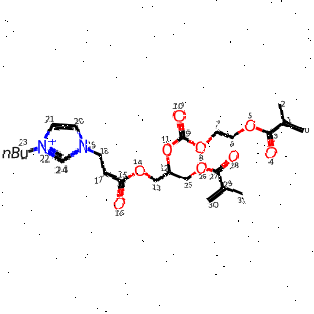 C=C(C)C(=O)OCCOC(=O)OC(COC(=O)CCn1cc[n+](CCCC)c1)COC(=O)C(=C)C